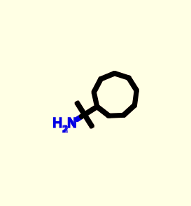 CC(C)(N)C1CCCCCCCC1